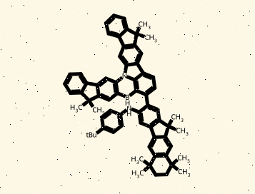 CC(C)(C)c1ccc(Nc2cc3c(cc2-c2ccc4c5cc6c(cc5n5c4c2Bc2cc4c(cc2-5)-c2ccccc2C4(C)C)-c2ccccc2C6(C)C)C(C)(C)c2cc4c(cc2-3)C(C)(C)CCC4(C)C)cc1